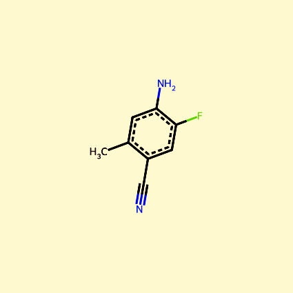 Cc1cc(N)c(F)cc1C#N